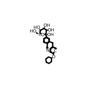 N#Cc1ccc([C@@]2(O)O[C@H](CO)[C@@H](O)[C@H](O)[C@H]2O)cc1Cc1ccc(OC2CCCCC2)cc1